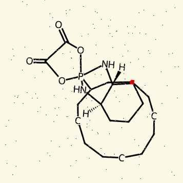 O=C1OP2(C3CCCCCCCCCCC3)(N[C@@H]3CCCC[C@H]3N2)OC1=O